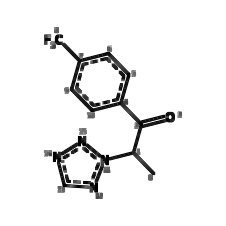 CC(C(=O)c1ccc(C(F)(F)F)cc1)n1ncnn1